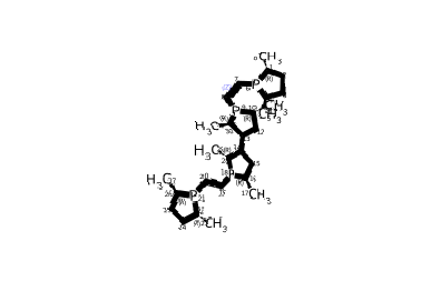 C[C@@H]1CC[C@@H](C)P1/C=C\P1[C@H](C)CC(C2C[C@@H](C)P(CCP3[C@H](C)CC[C@H]3C)[C@@H]2C)[C@H]1C